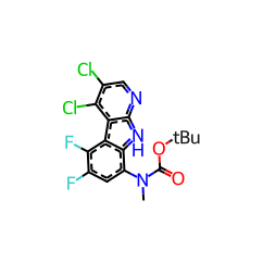 CN(C(=O)OC(C)(C)C)c1cc(F)c(F)c2c1[nH]c1ncc(Cl)c(Cl)c12